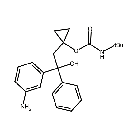 CC(C)(C)NC(=O)OC1(CC(O)(c2ccccc2)c2cccc(N)c2)CC1